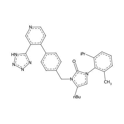 CCCCc1cn(-c2c(C)cccc2C(C)C)c(=O)n1Cc1ccc(-c2ccncc2-c2nnn[nH]2)cc1